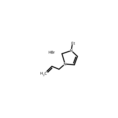 Br.C=CCN1C=CN(CC)C1